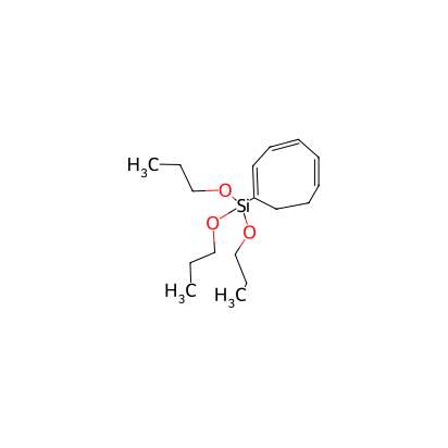 CCCO[Si](OCCC)(OCCC)/C1=C/C=C\C=C/CC1